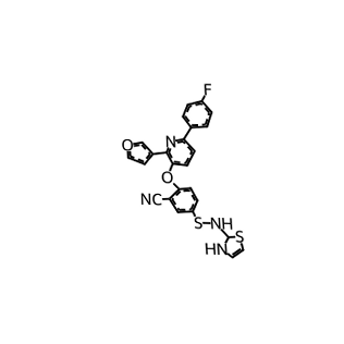 N#Cc1cc(SNC2NC=CS2)ccc1Oc1ccc(-c2ccc(F)cc2)nc1-c1ccoc1